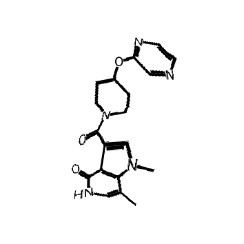 Cc1c[nH]c(=O)c2c(C(=O)N3CCC(Oc4cnccn4)CC3)cn(C)c12